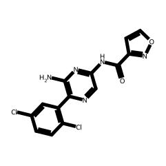 Nc1nc(NC(=O)c2ccon2)cnc1-c1cc(Cl)ccc1Cl